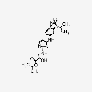 Cc1nc2cnc(Nc3ccnc(NCC(O)C(=O)OC(C)C)n3)cc2n1C(C)C